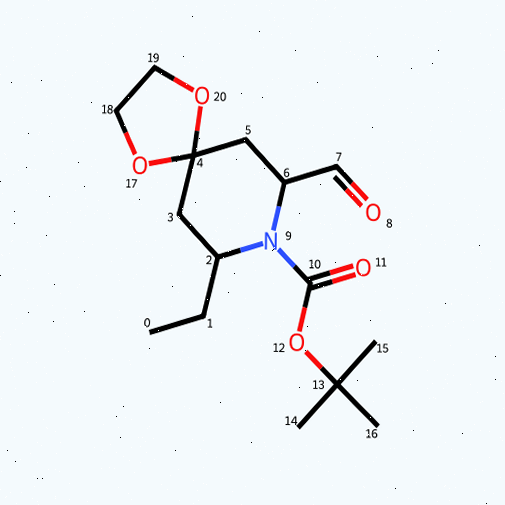 CCC1CC2(CC(C=O)N1C(=O)OC(C)(C)C)OCCO2